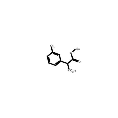 CC(C)(C)OC(=O)C(C(=O)O)c1cccc(C(F)(F)F)c1